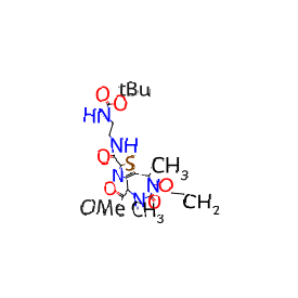 C=CCON1C(=O)N(C)C(C(=O)OC)c2nc(C(=O)NCCNC(=O)OC(C)(C)C)sc2C1C